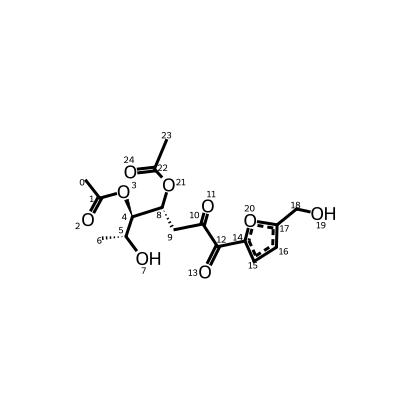 CC(=O)O[C@H]([C@@H](C)O)[C@@H](CC(=O)C(=O)c1ccc(CO)o1)OC(C)=O